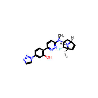 CN(c1ccc(-c2ccc(-n3ccnn3)cc2O)nn1)[C@H]1C[C@@H]2C=C[C@](C)([C@@H]1F)N2C